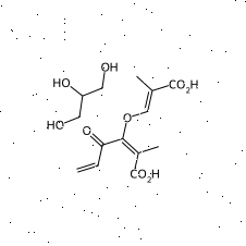 C=CC(=O)C(OC=C(C)C(=O)O)=C(C)C(=O)O.OCC(O)CO